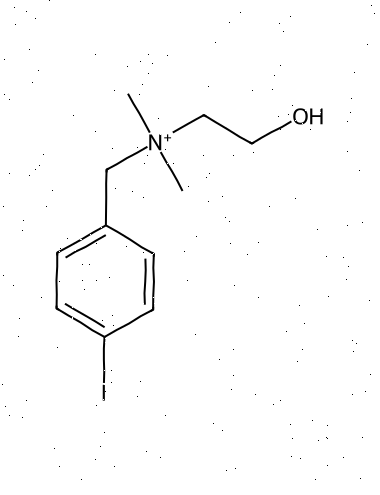 C[N+](C)(CCO)Cc1ccc(I)cc1